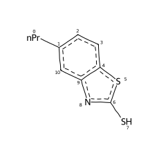 CCCc1ccc2sc(S)nc2c1